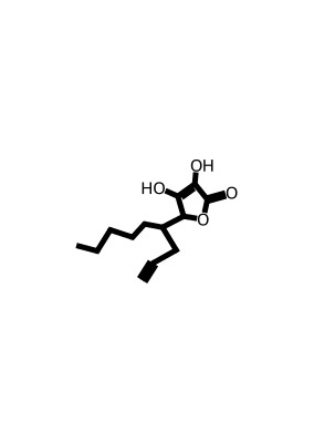 C#CCC(CCCCC)C1OC(=O)C(O)=C1O